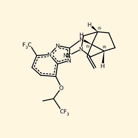 C=C[C@@]1(Nc2nc3c(OC(C)C(F)(F)F)ccc(C(F)(F)F)n3n2)[C@@H]2CC[C@H]1CN(C#N)C2